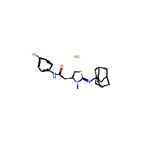 CN1C(=NC23CC4CC(CC(C4)C2)C3)SCC1CC(=O)Nc1ccc(Br)cc1.Cl